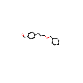 O=Cc1ccc(C=CCOCc2ccccc2)cc1